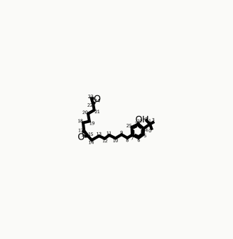 CC(C)(C)c1ccc(CCCCCCCC2OC2CCCCC2CO2)cc1O